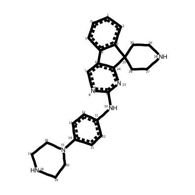 c1ccc2c(c1)-c1cnc(Nc3ccc(N4CCNCC4)cc3)nc1C21CCNCC1